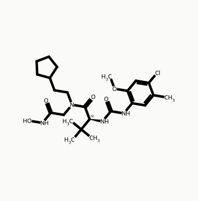 COc1cc(Cl)c(C)cc1NC(=O)N[C@H](C(=O)N(CCC1CCCC1)CC(=O)NO)C(C)(C)C